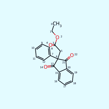 CCOC(=O)CC1(c2ccccc2)C(=O)c2ccccc2C1=O